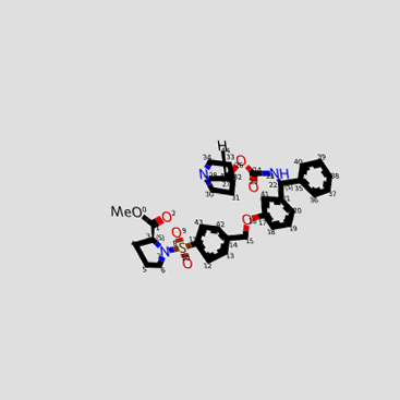 COC(=O)[C@@H]1CCCN1S(=O)(=O)c1ccc(COc2cccc([C@@H](NC(=O)O[C@H]3CN4CCC3CC4)c3ccccc3)c2)cc1